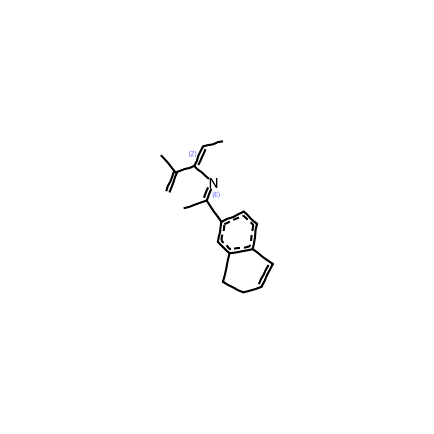 C=C(C)C(=C/C)/N=C(\C)c1ccc2c(c1)CCC=C2